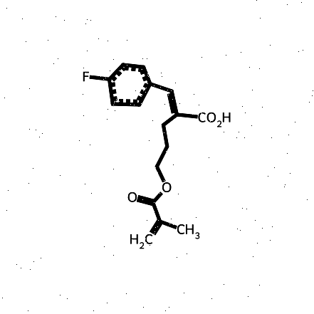 C=C(C)C(=O)OCCCC(=Cc1ccc(F)cc1)C(=O)O